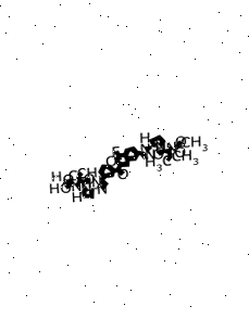 COC(=O)NC(C(=O)N1CCC[C@H]1c1ncc(-c2ccc3c(F)c4oc5ccc(-c6cnc([C@@H]7CCCN7C(=O)C(NC(=O)O)C(C)C)[nH]6)cc5c(=O)c4cc3c2)[nH]1)C(C)C